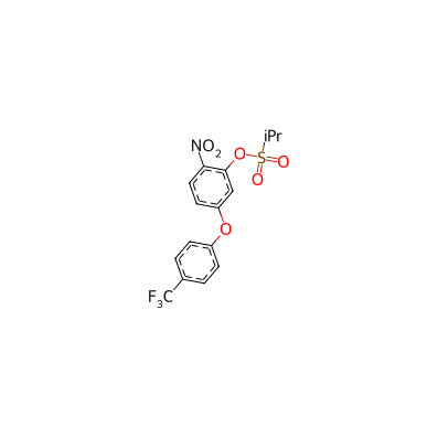 CC(C)S(=O)(=O)Oc1cc(Oc2ccc(C(F)(F)F)cc2)ccc1[N+](=O)[O-]